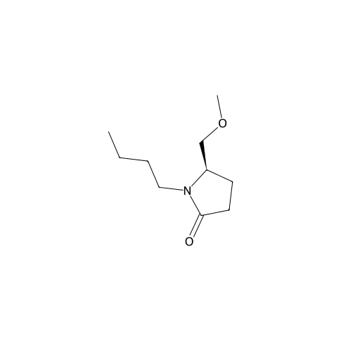 CCCCN1C(=O)CC[C@@H]1COC